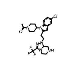 CC(=O)N1CCC(n2c(CCN3N=C(C(F)(F)F)N4CCNCC34)cc3cc(Cl)ccc32)CC1